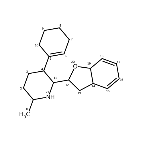 CC1CCC(C2=CCCCC2)C(C2CC3C=CC=CC3O2)N1